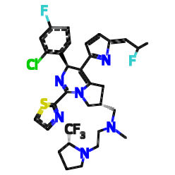 CC(F)/C=C1/C=CC(C2=C3C[C@H](CN(C)CCN4CCC[C@@H]4C(F)(F)F)CN3C(c3nccs3)=N[C@H]2c2ccc(F)cc2Cl)=N1